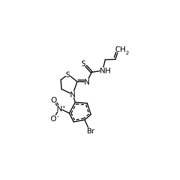 C=CCNC(=S)N=C1SCCN1c1ccc(Br)cc1[N+](=O)[O-]